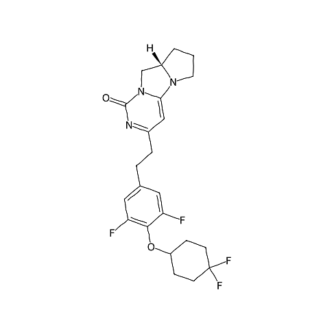 O=c1nc(CCc2cc(F)c(OC3CCC(F)(F)CC3)c(F)c2)cc2n1C[C@@H]1CCCN21